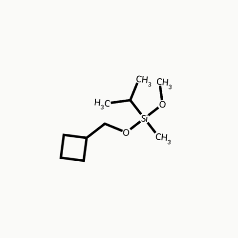 CO[Si](C)(OCC1CCC1)C(C)C